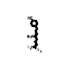 CC(C)=CCC/C(C)=C/CCC1=CCC(C#N)CC1